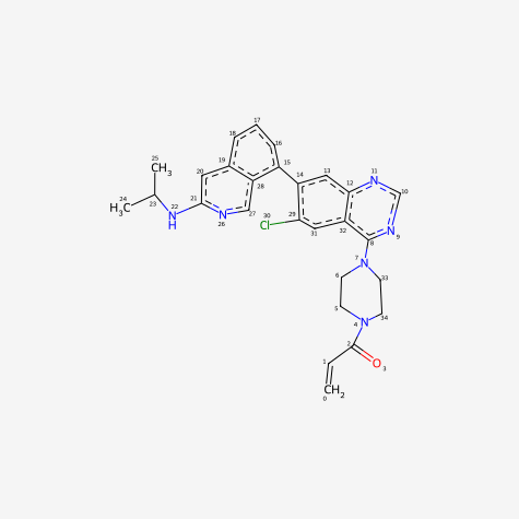 C=CC(=O)N1CCN(c2ncnc3cc(-c4cccc5cc(NC(C)C)ncc45)c(Cl)cc23)CC1